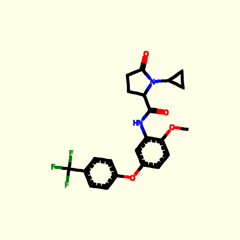 COc1ccc(Oc2ccc(C(F)(F)F)cc2)cc1NC(=O)C1CCC(=O)N1C1CC1